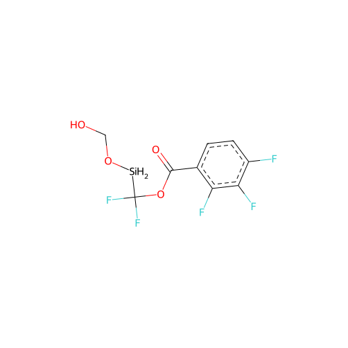 O=C(OC(F)(F)[SiH2]OCO)c1ccc(F)c(F)c1F